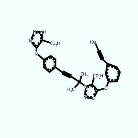 CC(C)(C)C#Cc1cccc(Oc2nnn(C(C)(C)C#Cc3ccc(Oc4nn[nH]c4C(=O)O)cc3)c2C(=O)O)c1